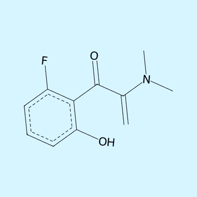 C=C(C(=O)c1c(O)cccc1F)N(C)C